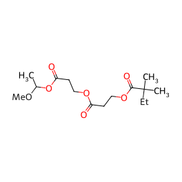 CCC(C)(C)C(=O)OCCC(=O)OCCC(=O)OC(C)OC